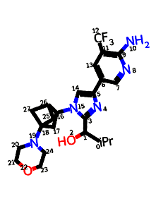 CC(C)C(O)c1nc(-c2cnc(N)c(C(F)(F)F)c2)cn1C1CC2(N3CCOCC3)CC1C2